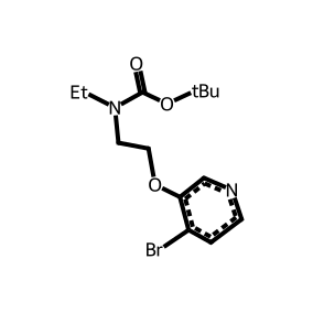 CCN(CCOc1cnccc1Br)C(=O)OC(C)(C)C